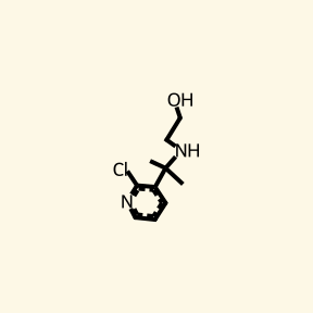 CC(C)(NCCO)c1cccnc1Cl